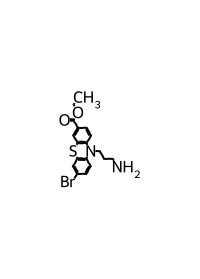 CCOC(=O)c1ccc2c(c1)Sc1cc(Br)ccc1N2CCCN